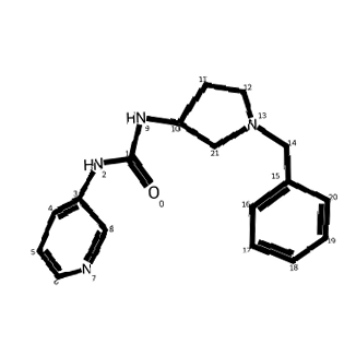 O=C(Nc1cccnc1)NC1CCN(Cc2ccccc2)C1